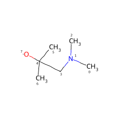 CN(C)CC(C)(C)[O]